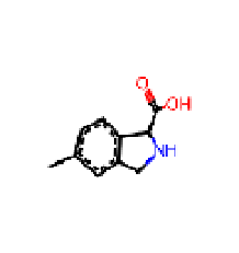 Cc1ccc2c(c1)CNC2C(=O)O